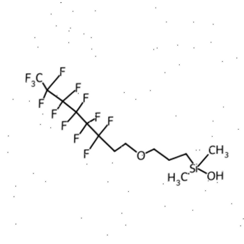 C[Si](C)(O)CCCOCCC(F)(F)C(F)(F)C(F)(F)C(F)(F)C(F)(F)C(F)(F)F